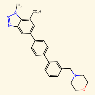 Cn1nnc2cc(-c3ccc(-c4cccc(CN5CCOCC5)c4)cc3)cc(C(=O)O)c21